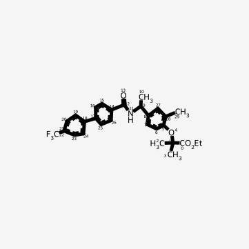 CCOC(=O)C(C)(C)Oc1ccc(C(C)NC(=O)c2ccc(-c3ccc(C(F)(F)F)cc3)cc2)cc1C